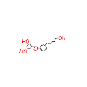 CC(C)(O)CCCCCc1cccc(OCc2cc(O)cc(O)c2)c1